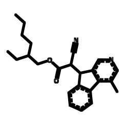 CCCCC(CC)COC(=O)C(C#N)C1c2ccccc2-c2c(C)cncc21